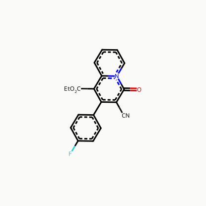 CCOC(=O)c1c(-c2ccc(F)cc2)c(C#N)c(=O)n2ccccc12